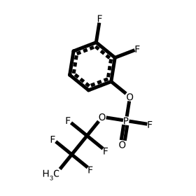 CC(F)(F)C(F)(F)OP(=O)(F)Oc1cccc(F)c1F